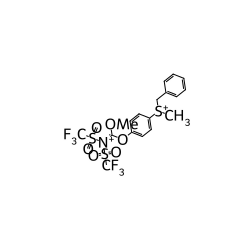 COC(Oc1ccc([S+](C)Cc2ccccc2)cc1)=[N+](S(=O)(=O)C(F)(F)F)S(=O)(=O)C(F)(F)F